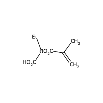 C=C(C)C(=O)O.CCOC(=O)O